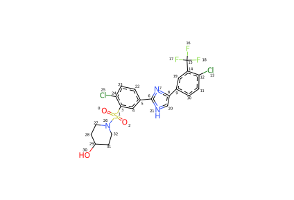 O=S(=O)(c1cc(-c2nc(-c3ccc(Cl)c(C(F)(F)F)c3)c[nH]2)ccc1Cl)N1CCC(O)CC1